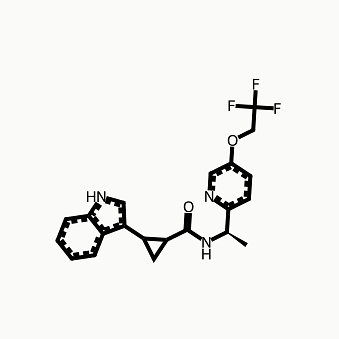 C[C@@H](NC(=O)C1CC1c1c[nH]c2ccccc12)c1ccc(OCC(F)(F)F)cn1